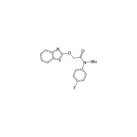 CC(C)(C)N(C(=O)COc1nc2ccccc2s1)c1ccc(F)cc1